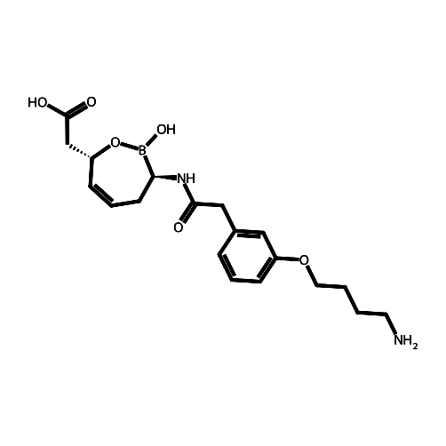 NCCCCOc1cccc(CC(=O)N[C@H]2CC=C[C@H](CC(=O)O)OB2O)c1